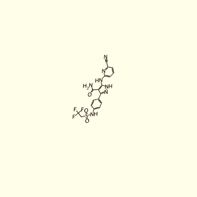 N#Cc1cccc(Nc2[nH]nc(-c3ccc(NS(=O)(=O)CC(F)(F)F)cc3)c2C(N)=O)n1